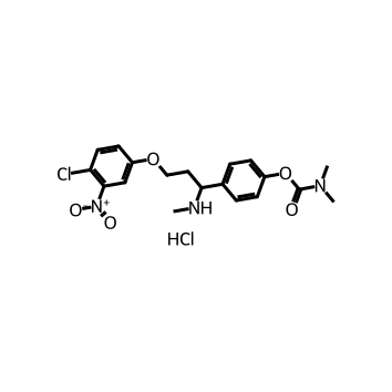 CNC(CCOc1ccc(Cl)c([N+](=O)[O-])c1)c1ccc(OC(=O)N(C)C)cc1.Cl